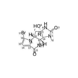 CN1C(=O)N[C@]2(O)C[C@@H]3[C@@H](NC(=O)c4ccc(Br)n43)[C@H]12